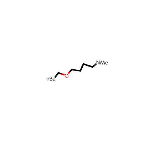 CCCCCOCCCCNC